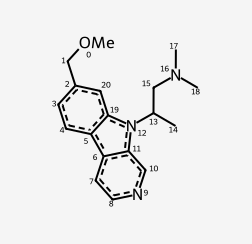 COCc1ccc2c3ccncc3n(C(C)CN(C)C)c2c1